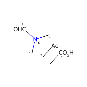 CC(=O)O.CC(C)=O.CN(C)C=O